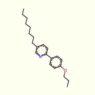 CCCCCCCCc1ccc(-c2ccc(OCCC)cc2)nc1